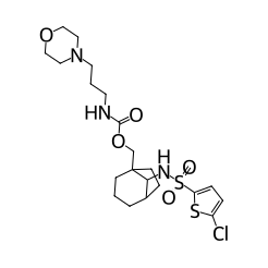 O=C(NCCCN1CCOCC1)OCC12CCCC(CC1)C2NS(=O)(=O)c1ccc(Cl)s1